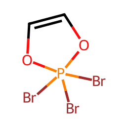 BrP1(Br)(Br)OC=CO1